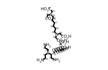 CC(=O)O.CC(=O)O.CC(=O)O.CC(=O)O.CC(=O)O.CC(=O)O.NCCN(CCN)CCN.O=C(O)CN(CCCCCCN(CC(=O)O)CC(=O)O)CC(=O)O